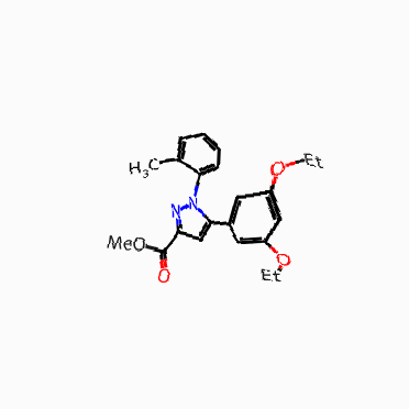 CCOc1cc(OCC)cc(-c2cc(C(=O)OC)nn2-c2ccccc2C)c1